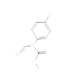 CCCNC(=O)N(C=N)c1ccc(N)cc1